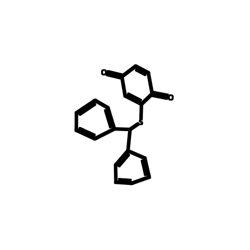 O=C1C=CC(=O)C(SC(c2ccccc2)c2ccccc2)=C1